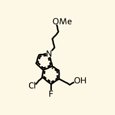 COCCCn1ccc2c(Cl)c(F)c(CO)cc21